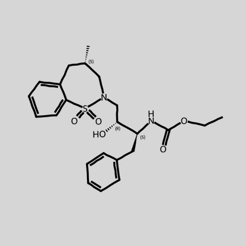 CCOC(=O)N[C@@H](Cc1ccccc1)[C@H](O)CN1C[C@@H](C)Cc2ccccc2S1(=O)=O